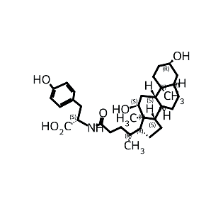 C[C@H](CCC(=O)N[C@@H](Cc1ccc(O)cc1)C(=O)O)[C@H]1CC[C@H]2[C@@H]3CC[C@@H]4C[C@H](O)CC[C@]4(C)[C@H]3C[C@H](O)[C@]12C